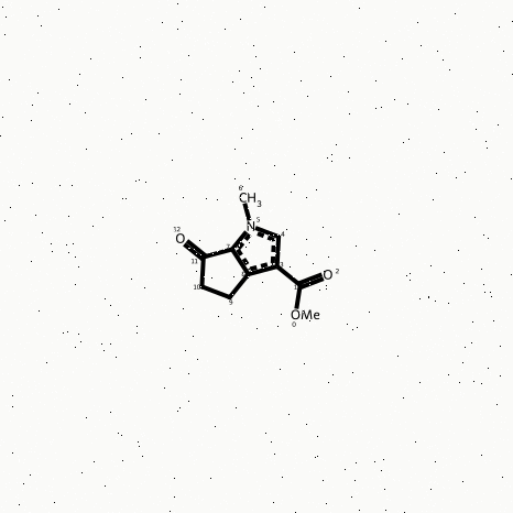 COC(=O)c1cn(C)c2c1CCC2=O